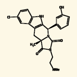 CNCCN1C(=O)N2[C@H](c3cccc(O)c3)c3[nH]c4ccc(Cl)cc4c3C[C@@]2(C)C1=O